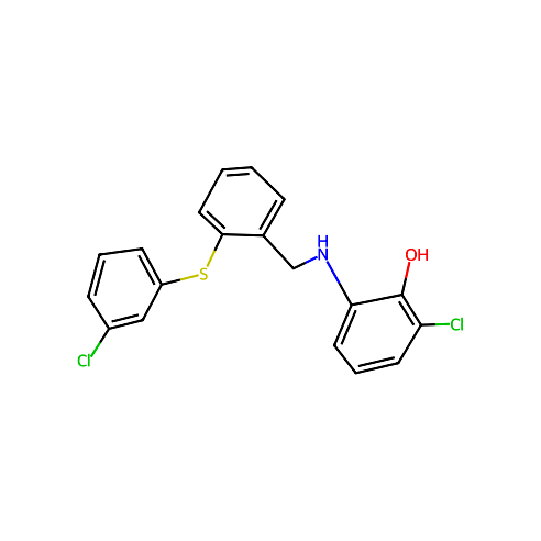 Oc1c(Cl)cccc1NCc1ccccc1Sc1cccc(Cl)c1